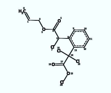 C=CCOC(=O)C(Cl)c1ccccc1C(Cl)(Cl)C(=O)OCl